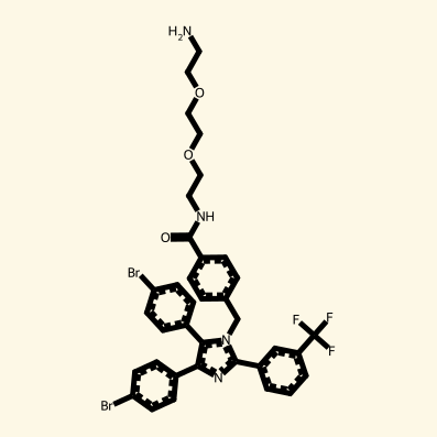 NCCOCCOCCNC(=O)c1ccc(Cn2c(-c3cccc(C(F)(F)F)c3)nc(-c3ccc(Br)cc3)c2-c2ccc(Br)cc2)cc1